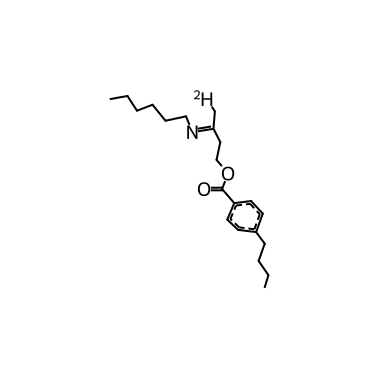 [2H]CC(CCOC(=O)c1ccc(CCCC)cc1)=NCCCCCC